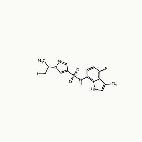 CC(CF)n1cc(S(=O)(=O)Nc2ccc(F)c3c(C#N)c[nH]c23)cn1